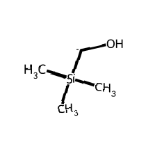 C[Si](C)(C)[CH]O